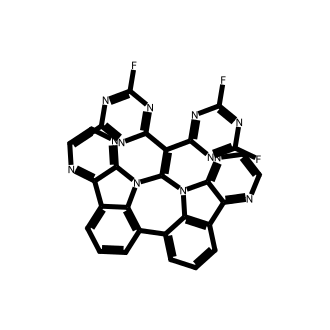 Fc1nc(F)nc(C(c2nc(F)nc(F)n2)=c2n3c4nccnc4c4cccc(c5cccc6c7nccnc7n2c56)c43)n1